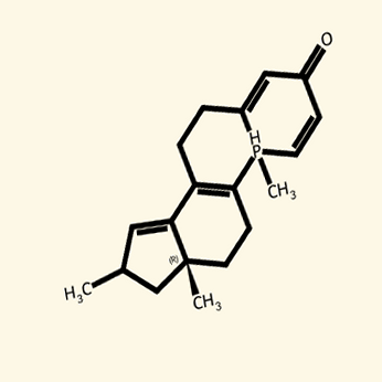 CC1C=C2C3=C(CC[C@]2(C)C1)[PH]1(C)C=CC(=O)C=C1CC3